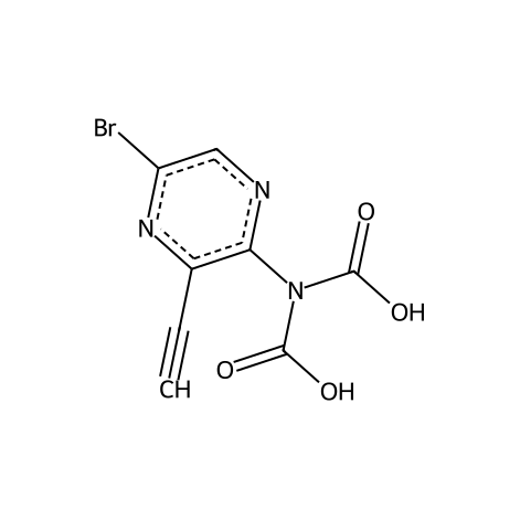 C#Cc1nc(Br)cnc1N(C(=O)O)C(=O)O